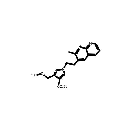 CCOC(=O)c1cn(CCc2cc3cccnc3nc2C)nc1COC(C)(C)C